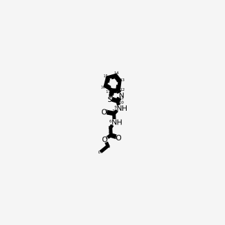 CCOC(=O)CNC(=O)Nc1nc2ccccc2s1